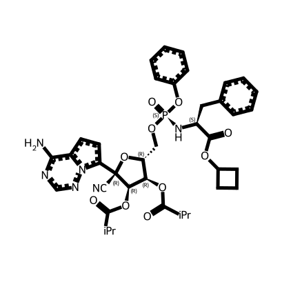 CC(C)C(=O)O[C@H]1[C@@H](OC(=O)C(C)C)[C@](C#N)(c2ccc3c(N)ncnn23)O[C@@H]1CO[P@@](=O)(N[C@@H](Cc1ccccc1)C(=O)OC1CCC1)Oc1ccccc1